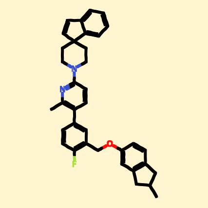 Cc1nc(N2CCC3(C=Cc4ccccc43)CC2)ccc1-c1ccc(F)c(COc2ccc3c(c2)CC(C)C3)c1